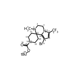 CN1CCn2c(C(F)(F)F)cc(Br)c2C12CCN(C(=O)OC(C)(C)C)CC2